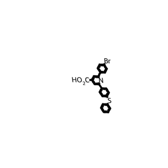 O=C(O)c1cc(-c2ccc(Br)cc2)nc(-c2ccc(Sc3ccccc3)cc2)c1